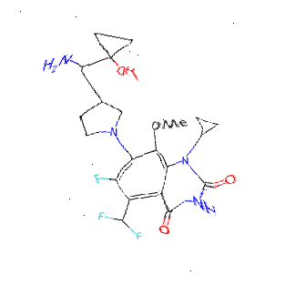 COc1c(N2CCC(C(N)C3(O)CC3)C2)c(F)c(C(F)F)c2c(=O)[nH]c(=O)n(C3CC3)c12